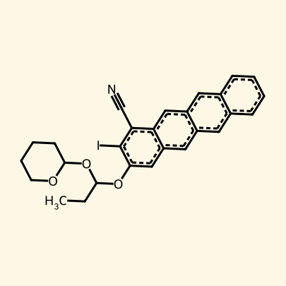 CCC(Oc1cc2cc3cc4ccccc4cc3cc2c(C#N)c1I)OC1CCCCO1